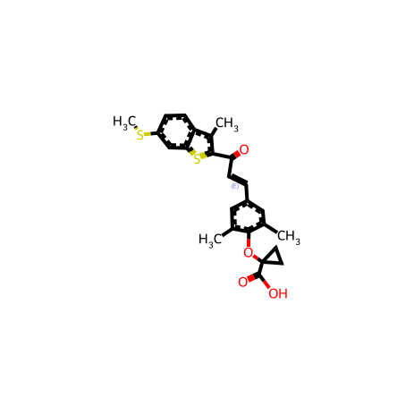 CSc1ccc2c(C)c(C(=O)/C=C/c3cc(C)c(OC4(C(=O)O)CC4)c(C)c3)sc2c1